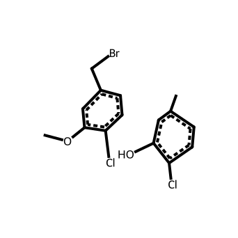 COc1cc(CBr)ccc1Cl.Cc1ccc(Cl)c(O)c1